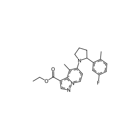 CCOC(=O)c1cnn2ccc(N3CCCC3c3cc(F)ccc3C)c(C)c12